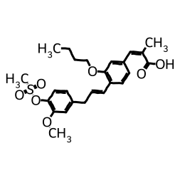 CCCCOc1cc(C=C(C)C(=O)O)ccc1C=CCc1ccc(OS(C)(=O)=O)c(OC)c1